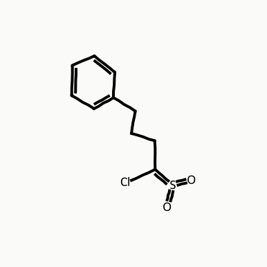 O=S(=O)=C(Cl)CCCc1ccccc1